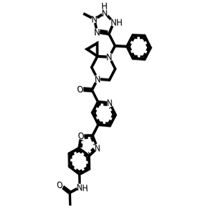 CC(=O)Nc1ccc2oc(-c3ccnc(C(=O)N4CCN(C(C5=NN(C)NN5)c5ccccc5)C5(CC5)C4)c3)nc2c1